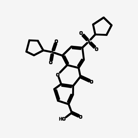 O=C(O)c1ccc2oc3c(S(=O)(=O)C4CCCC4)cc(S(=O)(=O)C4CCCC4)cc3c(=O)c2c1